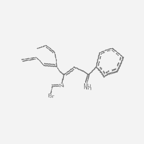 C=C/C=C(\C=C/C)C(=C/C(=N)c1ccccc1)/N=C/Br